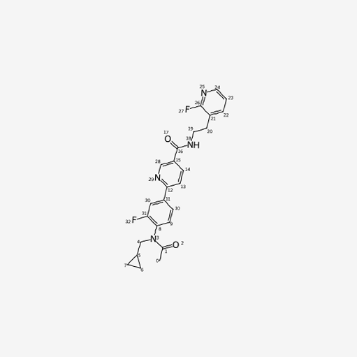 CC(=O)N(CC1CC1)c1ccc(-c2ccc(C(=O)NCCc3cccnc3F)cn2)cc1F